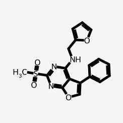 CS(=O)(=O)c1nc(NCc2ccco2)c2c(-c3ccccc3)coc2n1